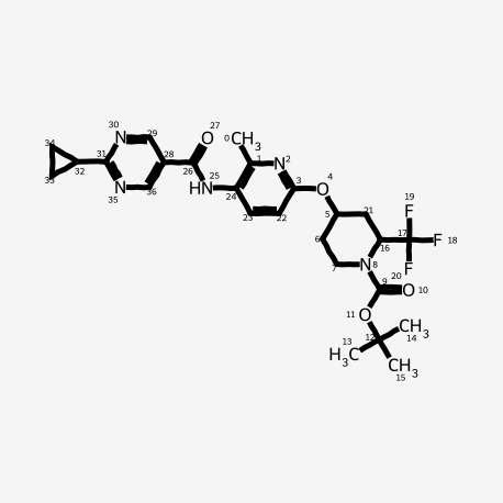 Cc1nc(OC2CCN(C(=O)OC(C)(C)C)C(C(F)(F)F)C2)ccc1NC(=O)c1cnc(C2CC2)nc1